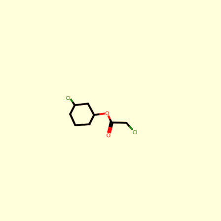 O=C(CCl)OC1CCCC(Cl)C1